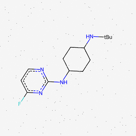 CC(C)(C)NC1CCC(Nc2nccc(F)n2)CC1